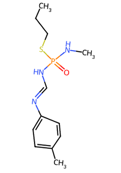 CCCSP(=O)(NC)NC=Nc1ccc(C)cc1